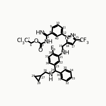 N=C(NC(=O)OCC(Cl)(Cl)Cl)c1cccc(-n2nc(C(F)(F)F)cc2CNc2cc(C(NCC3CC3)c3ccccc3)ccc2F)c1